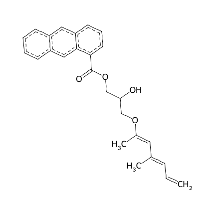 C=C/C=C(C)/C=C(\C)OCC(O)COC(=O)c1cccc2cc3ccccc3cc12